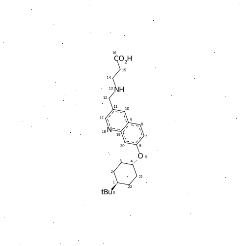 CC(C)(C)[C@H]1CC[C@H](Oc2ccc3cc(CNCCC(=O)O)cnc3c2)CC1